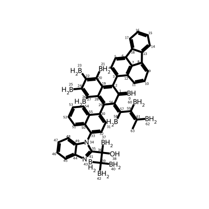 B=c1c(-c2ccc3c4c(cccc24)-c2ccccc2-3)c2c(B)c(B)c(B)c(B)c2c(-c2ccc(-n3c(C(B)(O)C(B)(B)B)nc4ccccc43)c3ccccc23)/c1=C(B)/C(B)=C(/B)C